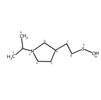 CC(C)N1CCC(CCSO)C1